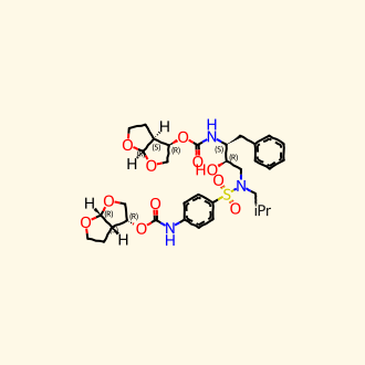 CC(C)CN(C[C@@H](O)[C@H](Cc1ccccc1)NC(=O)O[C@H]1CO[C@H]2OCC[C@H]21)S(=O)(=O)c1ccc(NC(=O)O[C@H]2CO[C@H]3OCC[C@H]32)cc1